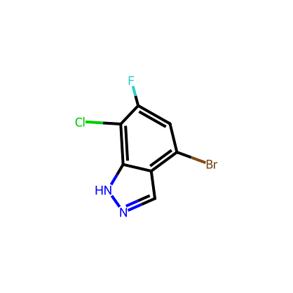 Fc1cc(Br)c2cn[nH]c2c1Cl